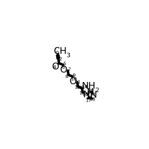 CC#CC(=O)COCCCOCCC(N)Cn1ccnn1